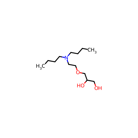 CCCCN(CCCC)CCOCC(O)CO